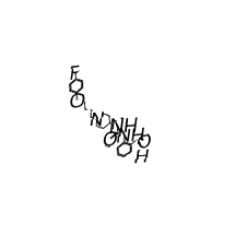 O=C(Nc1ccccc1CO)NC1CCN(CCCCOc2ccc(F)cc2)CC1